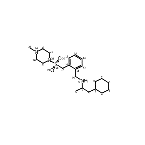 CC(CC1CCCCC1)NCc1ccccc1CS(=O)(=O)N1CCN(C)CC1